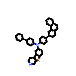 c1ccc(-c2ccc(N(c3ccc(-c4ccc5ccc6ccccc6c5c4)cc3)c3ccc4sc5cnccc5c4c3)cc2)cc1